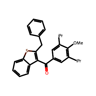 COc1c(C(C)C)cc(C(=O)c2c(Cc3ccccc3)sc3ccccc23)cc1C(C)C